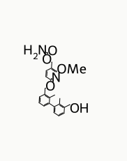 COc1nc(OCc2cccc(-c3cccc(CO)c3C)c2C)ccc1COC(N)=O